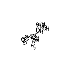 C[C@H](NC(=O)O)C(=O)N1CCC(CCn2c(Sc3nc4cccc(Cl)c4s3)nc3c(N)ncnc32)CC1